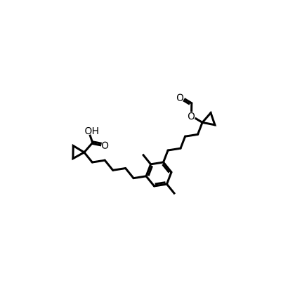 Cc1cc(CCCCCC2(C(=O)O)CC2)c(C)c(CCCCC2(OC=O)CC2)c1